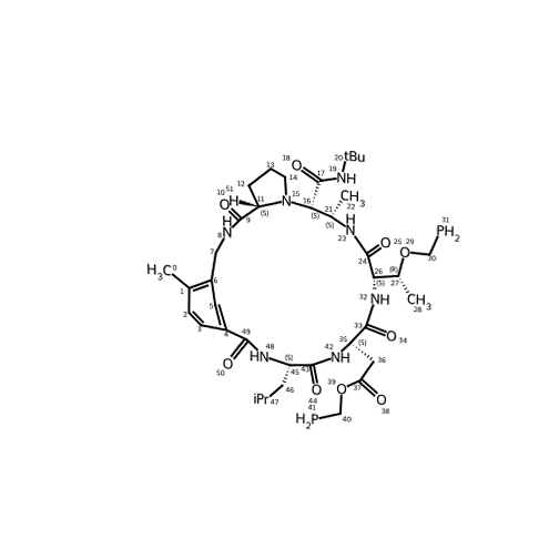 Cc1ccc2cc1CNC(=O)[C@@H]1CCCN1[C@H](C(=O)NC(C)(C)C)[C@H](C)NC(=O)[C@H]([C@@H](C)OCP)NC(=O)[C@H](CC(=O)OCP)NC(=O)[C@H](CC(C)C)NC2=O